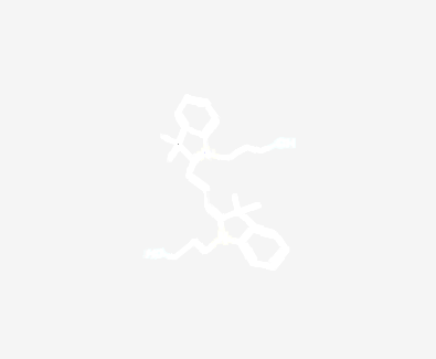 CC1(C)C(/C=C/C=C2/N(CCCO)c3ccccc3C2(C)C)=[N+](CCCO)c2ccccc21